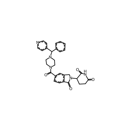 O=C1CCC(N2Cc3cc(C(=O)N4CCN(C(c5ccccc5)c5ccncc5)CC4)ccc3C2=O)C(=O)N1